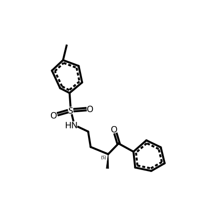 Cc1ccc(S(=O)(=O)NCC[C@H](C)C(=O)c2ccccc2)cc1